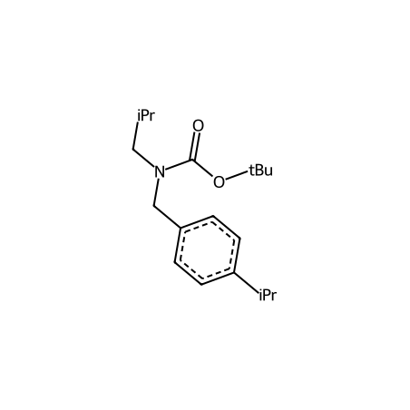 CC(C)CN(Cc1ccc(C(C)C)cc1)C(=O)OC(C)(C)C